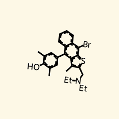 CCN(CC)Cc1sc2c(Br)c3ccccc3c(-c3cc(C)c(O)c(C)c3)c2c1C